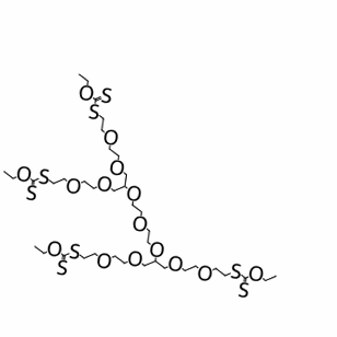 CCOC(=S)SCCOCCOCC(COCCOCCSC(=S)OCC)OCCOCCOC(COCCOCCSC(=S)OCC)COCCOCCSC(=S)OCC